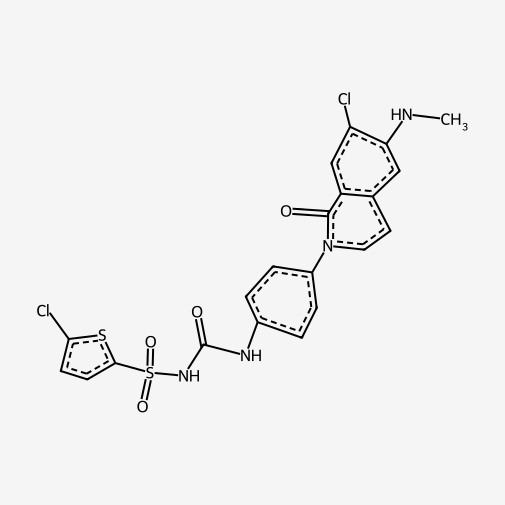 CNc1cc2ccn(-c3ccc(NC(=O)NS(=O)(=O)c4ccc(Cl)s4)cc3)c(=O)c2cc1Cl